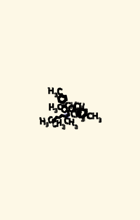 CC(C)=CCC/C(C)=C\C(OC(C)(C)[C@H]1CC=C(C)CC1)OC(C)(C)[C@H]1CC=C(C)CC1